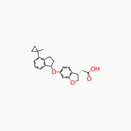 CC1(c2cccc3c2CC[C@H]3Oc2ccc3c(c2)OC[C@H]3CC(=O)O)CC1